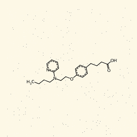 CCCCN(CCOc1ccc(CCCC(=O)O)cc1)c1ccccn1